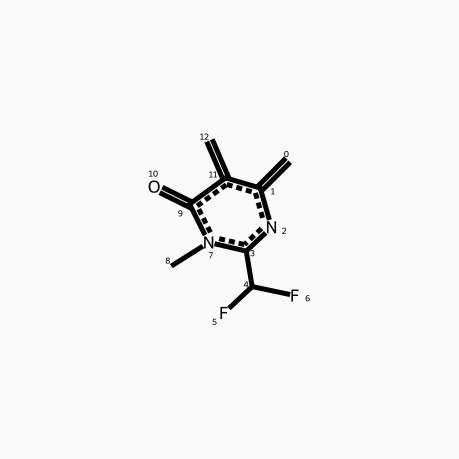 C=c1nc(C(F)F)n(C)c(=O)c1=C